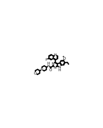 CCc1cc2[nH]c3nc(C(=O)NC4CCN(C5CCOCC5)CC4)nc(-c4ccnc5ccc(F)cc45)c3c2cc1OC